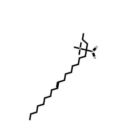 CCCCCCCCC=CCCCCCCCC(CCC)(P(=O)=O)[N+](C)(C)C